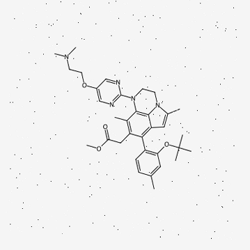 COC(=O)Cc1c(C)c2c3c(cc(C)n3CCN2c2ncc(OCCN(C)C)cn2)c1-c1ccc(C)cc1OC(C)(C)C